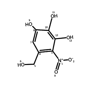 O=[N+]([O-])c1c(CO)cc(O)c(O)c1O